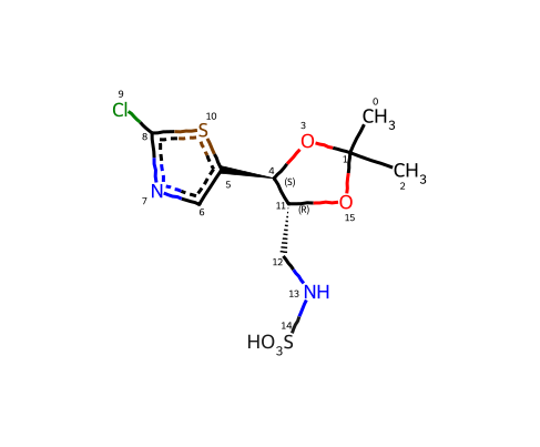 CC1(C)O[C@H](c2cnc(Cl)s2)[C@@H](CNS(=O)(=O)O)O1